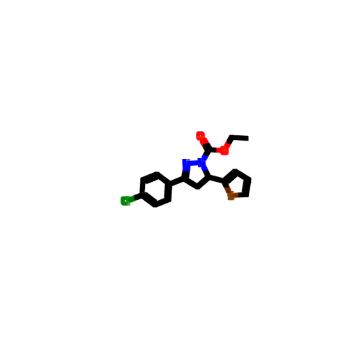 CCOC(=O)N1N=C(c2ccc(Cl)cc2)CC1c1cccs1